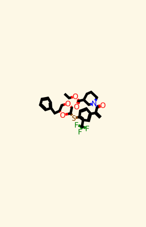 C=C(C(=O)N1CCCC(C(=O)OCC)C1)c1ccc(SC2COCC(Cc3ccccc3)O2)c(C(F)(F)F)c1